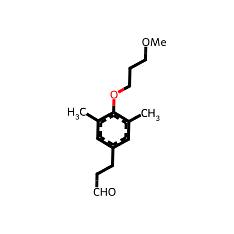 COCCCOc1c(C)cc(CCC=O)cc1C